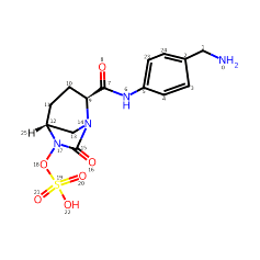 NCc1ccc(NC(=O)[C@@H]2CC[C@@H]3CN2C(=O)N3OS(=O)(=O)O)cc1